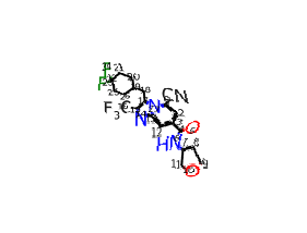 N#Cc1cc(C(=O)NC2CCOC2)cc2nc(C(F)(F)F)c(CC3CCC(F)(F)CC3)n12